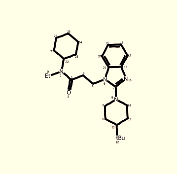 CCN(C(=O)CCn1c(N2CCC(C(C)(C)C)CC2)nc2ccccc21)C1CCCCC1